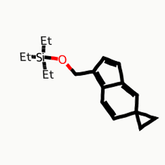 CC[Si](CC)(CC)OCC1=C2C=CC3(C=C2C=C1)CC3